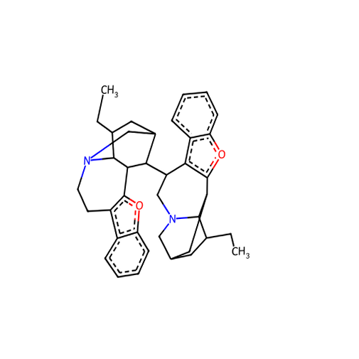 CCC1CC2CC3c4oc5ccccc5c4C(C4C5CC(CC)C6C4c4oc7ccccc7c4CCN6C5)CN(C2)C13